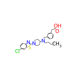 CCCCN(Cc1cccc(CC(=O)O)c1)C1CCN(c2nc3ccc(Cl)cc3s2)CC1